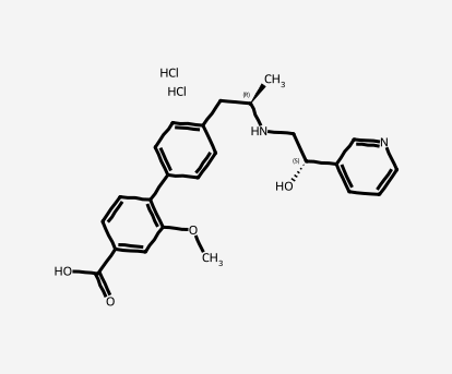 COc1cc(C(=O)O)ccc1-c1ccc(C[C@@H](C)NC[C@@H](O)c2cccnc2)cc1.Cl.Cl